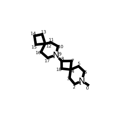 CN1CCC2(CC1)CC(N1CCC3(CCC3)CC1)C2